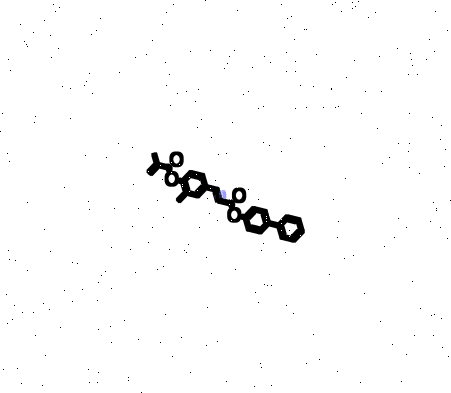 C=C(C)C(=O)Oc1ccc(/C=C/C(=O)Oc2ccc(-c3ccccc3)cc2)cc1C